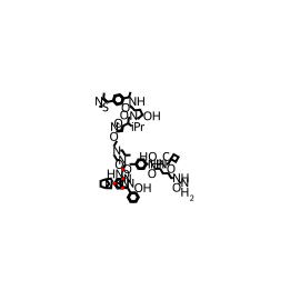 Cc1ncsc1-c1ccc(C(C)NC(=O)C2CC(O)CN2C(=O)C(c2cc(OCCN3CCN(CCOc4cc(N5C6CCC5CN(c5cc(-c7ccccc7O)nnc5NC(=O)OCc5ccc(NC(=O)C(CCCNC(N)=O)NC(=O)C7(C(=O)O)CCC7)cc5)C6)ccn4)C(C)C3)no2)C(C)C)cc1